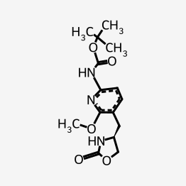 COc1nc(NC(=O)OC(C)(C)C)ccc1C[C@H]1COC(=O)N1